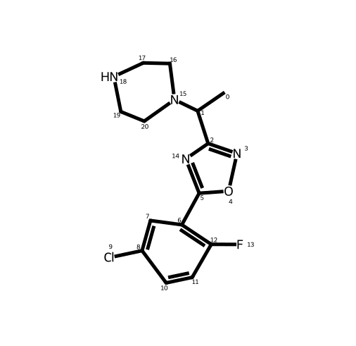 CC(c1noc(-c2cc(Cl)ccc2F)n1)N1CCNCC1